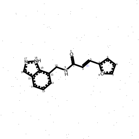 O=C(/C=C/c1ccco1)NCc1cccc2cn[nH]c12